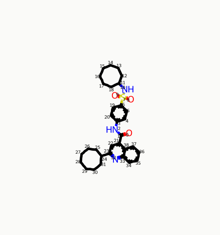 O=C(Nc1ccc(S(=O)(=O)NC2CCCCCCC2)cc1)c1cc(C2CCCCCCC2)nc2ccccc12